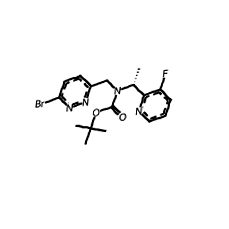 C[C@H](c1ncccc1F)N(Cc1ccc(Br)nn1)C(=O)OC(C)(C)C